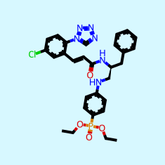 CCOP(=O)(OCC)c1ccc(NC[C@H](Cc2ccccc2)NC(=O)/C=C/c2cc(Cl)ccc2-n2cnnn2)cc1